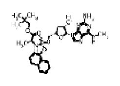 CNc1nc(N)nc2c1ncn2[C@@H]1O[C@H](COP(=S)(N[C@@H](C)C(=O)OCC(C)(C)C)Oc2cccc3ccccc23)C[C@@H]1C